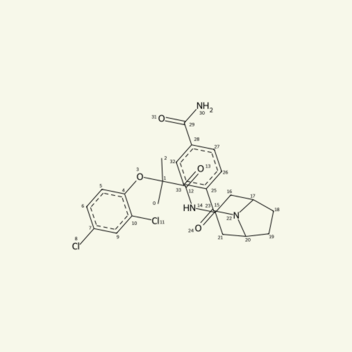 CC(C)(Oc1ccc(Cl)cc1Cl)C(=O)NC1CC2CCC(C1)N2C(=O)c1ccc(C(N)=O)cc1